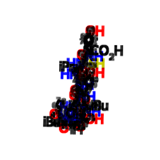 CC[C@H](C)[C@H](NC(=O)[C@@H]1CCCN1)C(=O)N[C@H](C(=O)N[C@H](C(=O)N[C@H](C(=O)N[C@@H](Cc1ccccc1)C(=O)N[C@@H](Cc1ccc(O)cc1)C(=O)NCC(=O)N[C@H](C(=O)N[C@@H](CS)C(=O)N[C@@H](Cc1ccc(O)cc1)C(=O)O)C(C)C)[C@@H](C)CC)[C@@H](C)O)C(C)C